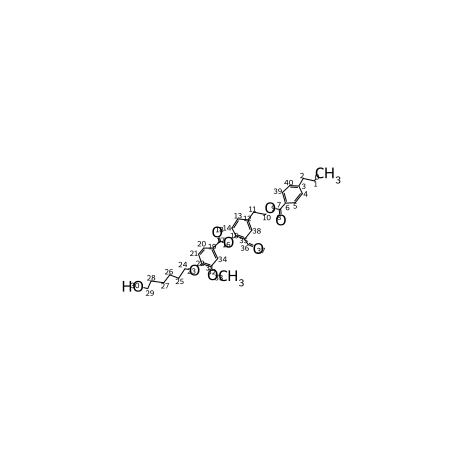 CCCc1ccc(C(=O)OCCc2ccc(OC(=O)c3ccc(OCCCCCCO)c(OC)c3)c(C=O)c2)cc1